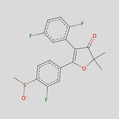 C[S+]([O-])c1ccc(C2=C(c3cc(F)ccc3F)C(=O)C(C)(C)O2)cc1F